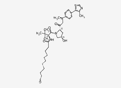 Cc1ncsc1-c1ccc([C@H](C)CC(=O)[C@@H]2C[C@@H](O)CN2C(=O)[C@@H](NC(=O)CCCCCCCCCC=O)C(C)(C)C)cc1